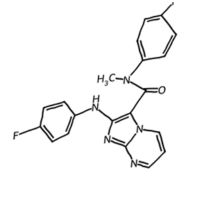 CN(C(=O)c1c(Nc2ccc(F)cc2)nc2ncccn12)c1ccc(F)cc1